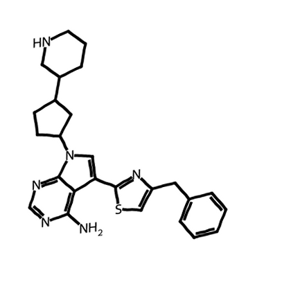 Nc1ncnc2c1c(-c1nc(Cc3ccccc3)cs1)cn2C1CCC(C2CCCNC2)C1